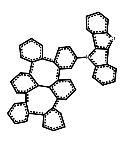 c1ccc2c(c1)oc1c3ccccc3n(-c3ccc4c(c3)c3cccc5c3-c3c(cccc3c3ccccc34)c3ccccc3c3ccccc53)c21